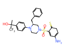 C[C@@](O)(c1ccc(N2CCN(S(=O)(=O)C3=CC(N)=CCC3=S)C[C@@H]2Cc2ccccc2)cc1)C(F)(F)F